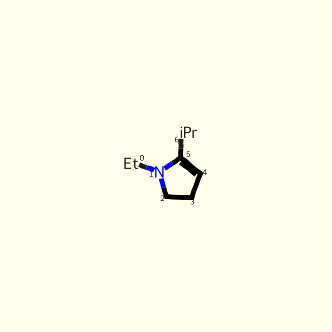 CCN1CCC=C1C(C)C